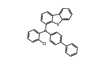 Clc1ccccc1N(c1ccc(-c2ccccc2)cc1)c1cccc2c1sc1ccccc12